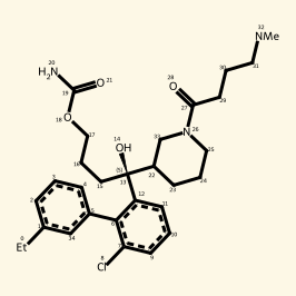 CCc1cccc(-c2c(Cl)cccc2[C@](O)(CCCOC(N)=O)C2CCCN(C(=O)CCCNC)C2)c1